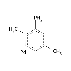 Cc1ccc(C)c(P)c1.[Pd]